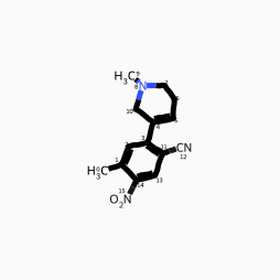 Cc1cc(C2=CCCN(C)C2)c(C#N)cc1[N+](=O)[O-]